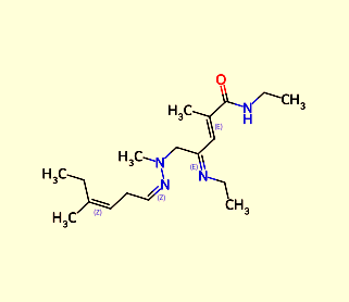 CC/N=C(\C=C(/C)C(=O)NCC)CN(C)/N=C\C/C=C(/C)CC